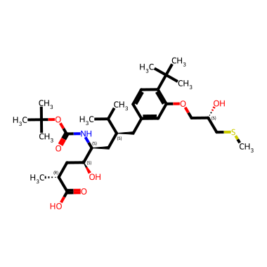 CSC[C@@H](O)COc1cc(C[C@@H](C[C@H](NC(=O)OC(C)(C)C)[C@@H](O)C[C@@H](C)C(=O)O)C(C)C)ccc1C(C)(C)C